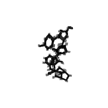 Cc1ccc(-n2nc(C(C)(C)C)cc2NC(=O)Nc2cccc(CC3CC4CCC(C3)N4C(=O)c3cnn(-c4ccccc4)c3C)c2)cc1